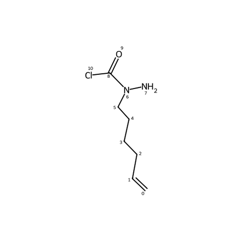 C=CCCCCN(N)C(=O)Cl